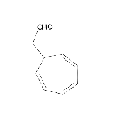 O=[C]CC1C=CC=CC=C1